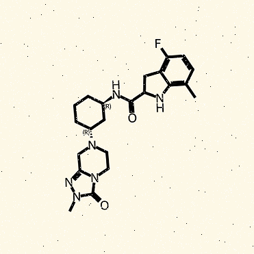 Cc1ccc(F)c2c1NC(C(=O)N[C@@H]1CCC[C@@H](N3CCn4c(nn(C)c4=O)C3)C1)C2